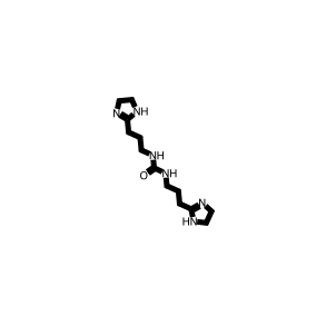 O=C(NCCCC1=NCCN1)NCCCC1=NCCN1